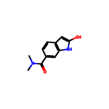 CN(C)C(=O)c1ccc2cc(O)[nH]c2c1